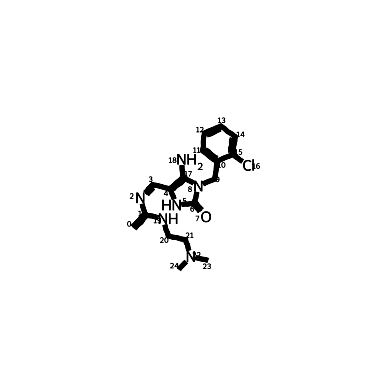 C=C(/N=C\c1[nH]c(=O)n(Cc2ccccc2Cl)c1N)NCCN(C)C